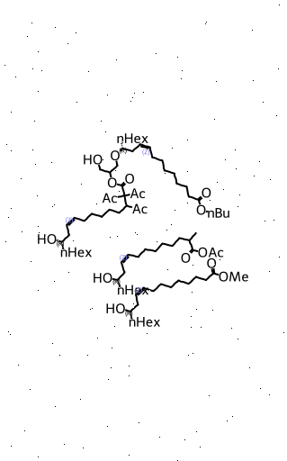 CCCCCC[C@@H](O)C/C=C\CCCCCC(C(C)=O)C(C(C)=O)(C(C)=O)C(=O)OC(CO)CO[C@@H](C/C=C\CCCCCCCC(=O)OCCCC)CCCCCC.CCCCCC[C@@H](O)C/C=C\CCCCCCC(C)C(=O)OC(C)=O.CCCCCC[C@@H](O)C/C=C\CCCCCCCC(=O)OC